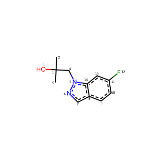 CC(C)(O)Cn1ncc2ccc(F)cc21